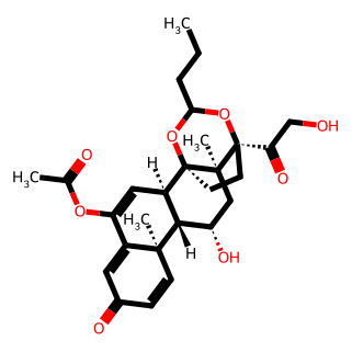 CCCC1O[C@@]2(C(=O)CO)CC[C@@]3(O1)[C@@H]1C=C(OC(C)=O)C4=CC(=O)C=C[C@]4(C)[C@H]1[C@@H](O)C[C@]23C